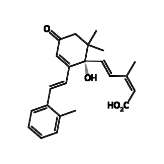 CC(=C/C(=O)O)/C=C/[C@@]1(O)C(/C=C/c2ccccc2C)=CC(=O)CC1(C)C